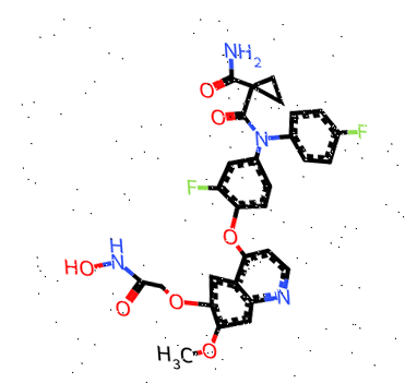 COc1cc2nccc(Oc3ccc(N(C(=O)C4(C(N)=O)CC4)c4ccc(F)cc4)cc3F)c2cc1OCC(=O)NO